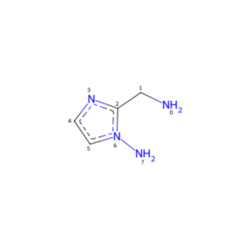 NCc1nccn1N